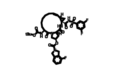 CC(C)(C)OC(=O)N[C@H]1CCCCC/C=C\[C@@H]2C[C@@]2(C(=O)NS(=O)(=O)c2cc(F)cc(F)c2)NC(=O)[C@@H]2C[C@@H](OC(=O)N3Cc4cccc(F)c4C3)CN2C1=O